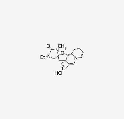 CCN1CC2(CC34CCCCC3=CN3C=CCCC3=C4O2)N(C)C1=O.Cl